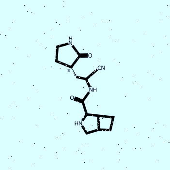 N#CC(C[C@@H]1CCNC1=O)NC(=O)C1NCC2CCC21